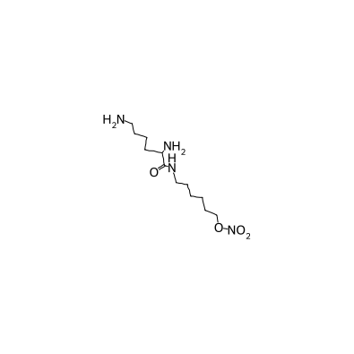 NCCCCC(N)C(=O)NCCCCCCO[N+](=O)[O-]